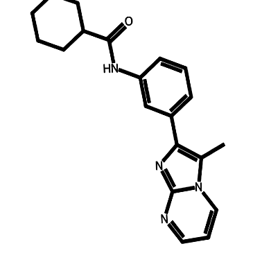 Cc1c(-c2cccc(NC(=O)C3CCCCC3)c2)nc2ncccn12